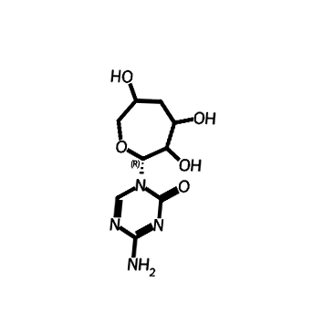 Nc1ncn([C@@H]2OCC(O)CC(O)C2O)c(=O)n1